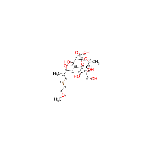 COCCSCC(C)C(=O)CC1C(O)CC(OC(C)C)(C(=O)O)OC1C(O)C(O)CO